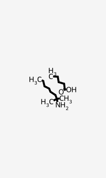 CCCCC(=O)O.CCCCCCC(C)(C)N